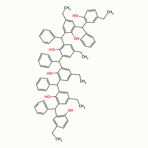 CCc1ccc(O)c(C(c2ccccc2)c2cc(CC)cc(C(c3ccccc3)c3cc(CC)cc(C(c4ccccc4)c4cc(CC)cc(C(c5ccccc5)c5cc(CC)cc(C(c6ccccc6)c6cc(CC)ccc6O)c5O)c4O)c3O)c2O)c1